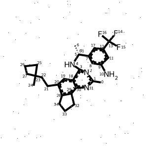 Cc1nc(N[C@H](C)c2cc(N)cc(C(F)(F)F)c2)c2cc(CCC3(C)CCC3)c3c(c2n1)CCC3